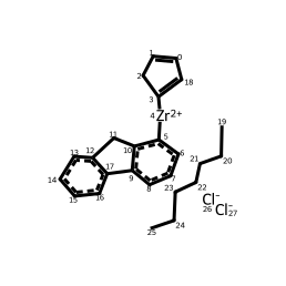 C1=CC[C]([Zr+2][c]2cccc3c2Cc2ccccc2-3)=C1.CCCCCCC.[Cl-].[Cl-]